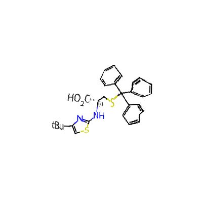 CC(C)(C)c1csc(N[C@@H](CSC(c2ccccc2)(c2ccccc2)c2ccccc2)C(=O)O)n1